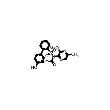 COc1nc(C)cnc1N(C(=O)OCC(C)C)S(=O)(=O)c1ccccc1-c1ccc(O)cc1